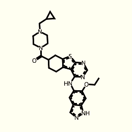 CCOc1cc2[nH]ncc2cc1Nc1ncnc2sc3c(c12)CCC(C(=O)N1CCN(CC2CC2)CC1)C3